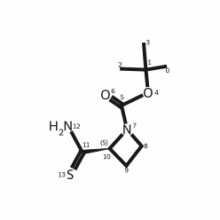 CC(C)(C)OC(=O)N1CC[C@H]1C(N)=S